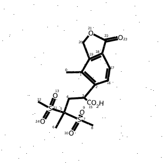 Cc1c(C(CC(C)(S(C)(=O)=O)S(C)(=O)=O)C(=O)O)ccc2c1COC2=O